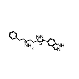 N[C@@H](CCc1ccccc1)CCc1nnc(-c2ccc3[nH]ncc3c2)s1